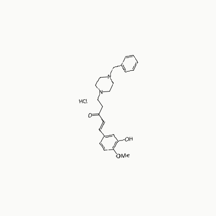 COc1ccc(C=CC(=O)CCN2CCN(Cc3ccccc3)CC2)cc1O.Cl